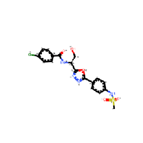 CS(=O)(=O)Nc1ccc(-c2nnc([C@H](CO)NC(=O)c3ccc(Cl)cc3)o2)cc1